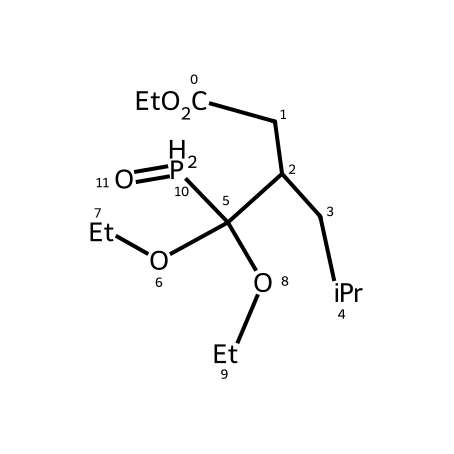 CCOC(=O)CC(CC(C)C)C(OCC)(OCC)[PH2]=O